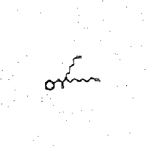 CCCCCCCN(CCCCCO)C(=O)Oc1ccccc1